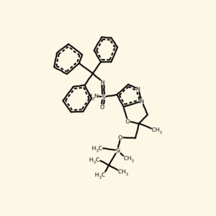 CC1(CO[Si](C)(C)C(C)(C)C)Cn2ncc(S(N)(=O)=NC(c3ccccc3)(c3ccccc3)c3ccccc3)c2O1